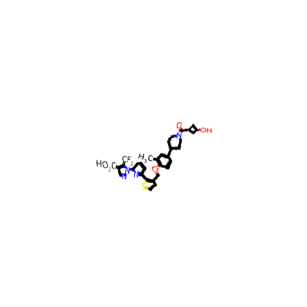 Cc1cc(C2CCN(C(=O)C3CC(O)C3)CC2)ccc1OCc1ccsc1-c1cccc(-n2ncc(C(=O)O)c2C(F)(F)F)n1